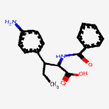 CCC(c1ccc(N)cc1)C(NC(=O)c1ccccc1)C(=O)O